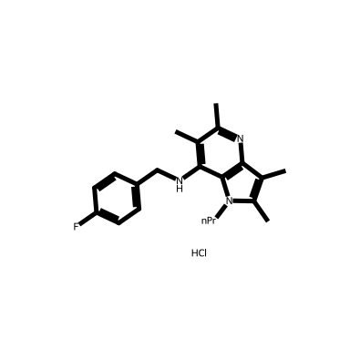 CCCn1c(C)c(C)c2nc(C)c(C)c(NCc3ccc(F)cc3)c21.Cl